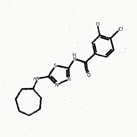 O=C(Nc1nnc(NC2CCCCCC2)s1)c1ccc(Cl)c(Cl)c1